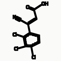 N#CC(=CC(=O)O)c1ccc(Cl)c(Cl)c1Cl